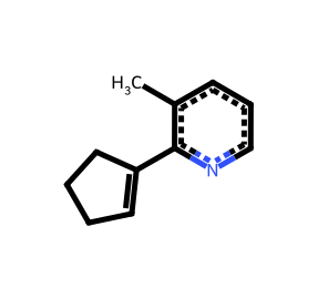 Cc1cccnc1C1=CCCC1